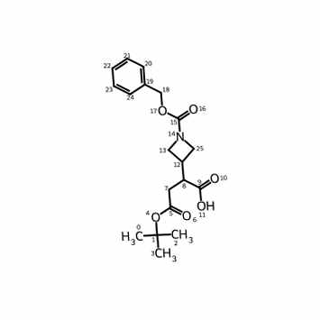 CC(C)(C)OC(=O)CC(C(=O)O)C1CN(C(=O)OCc2ccccc2)C1